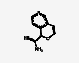 N=C(N)[C]1OC=Cc2cnccc21